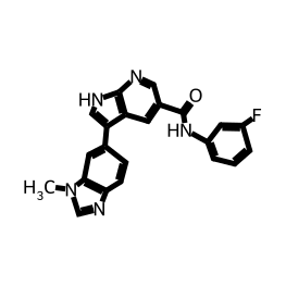 Cn1cnc2ccc(-c3c[nH]c4ncc(C(=O)Nc5cccc(F)c5)cc34)cc21